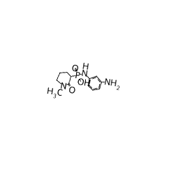 CN1CCCC(P(=O)(O)Nc2cccc(N)c2)C1=O